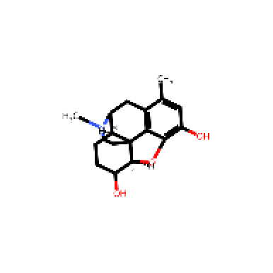 Cc1cc(O)c2c3c1CC1[C@@H]4CCC(O)[C@H](O2)C34CCN1C